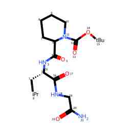 CC(C)C[C@H](NC(=O)C1CCCCN1C(=O)OC(C)(C)C)C(=O)NCC(N)=O